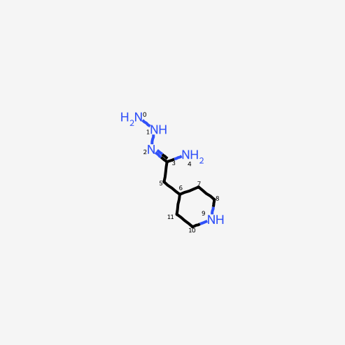 NN/N=C(\N)CC1CCNCC1